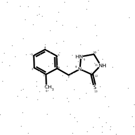 Cc1ccccc1CN1NCNC1=S